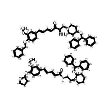 COc1cc(C=CC=CC(=O)C(N)CN2CCC(OC(c3ccccc3)c3ccccc3)CC2)ccc1OCc1ccccc1.COc1cc(C=CC=CC(=O)NCCN2CCCCC2OC(c2ccccc2)c2ccccc2)ccc1OC1CCCO1